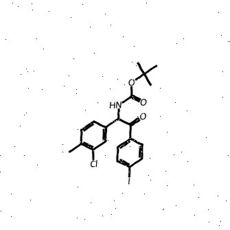 Cc1ccc(C(NC(=O)OC(C)(C)C)C(=O)c2ccc(I)cc2)cc1Cl